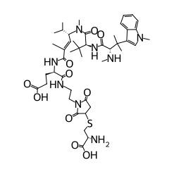 CN[C@H](C(=O)N[C@H](C(=O)N(C)[C@H](/C=C(\C)C(=O)N[C@H](CCC(=O)O)C(=O)NCCN1C(=O)CC(SC[C@H](N)C(=O)O)C1=O)C(C)C)C(C)(C)C)C(C)(C)c1cn(C)c2ccccc12